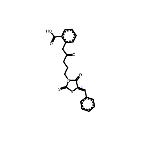 O=C(CCCN1C(=O)/C(=C/c2ccccc2)SC1=S)Cc1ccccc1C(=O)O